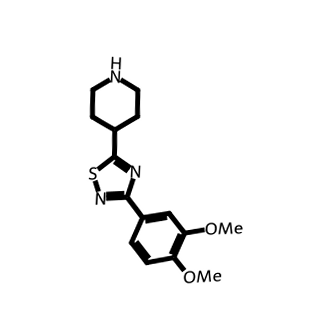 COc1ccc(-c2nsc(C3CCNCC3)n2)cc1OC